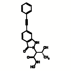 C[C@@H](O)C(C(=O)NO)n1[nH]c2cc(C#Cc3ccccc3)ccc2c1=O